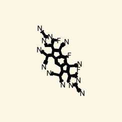 N#CC(C#N)=C1C(c2cnc(C#N)nc2F)=C(C#N)c2c1cc1c(c2F)C(C#N)=C(c2cnc(C#N)nc2F)C1=C(C#N)C#N